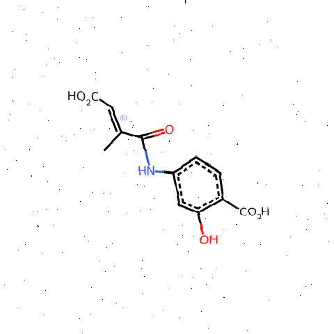 C/C(=C\C(=O)O)C(=O)Nc1ccc(C(=O)O)c(O)c1